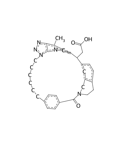 Cc1c2cnc3c1nnn3CCCCCCc1ccc(cc1)C(=O)N1CCc3ccc(cc3C1)C2CC(=O)O